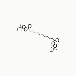 C=CC(C)(C)OOC(=O)CCCCCCCCCCC(=O)OOC(C)(C)C=C